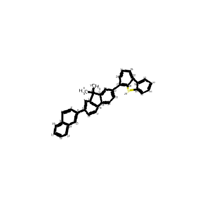 CC1(C)c2cc(-c3ccc4ccccc4c3)ccc2-c2ccc(-c3cccc4c3sc3ccccc34)cc21